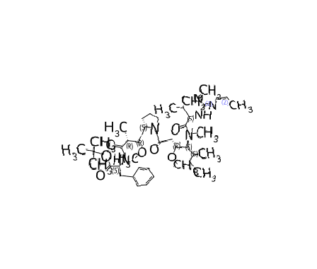 C=N/C(=N\C=C/C)N[C@H](C(=O)N(C)[C@@H]([C@@H](C)CC)[C@@H](CC(=O)N1CCC[C@H]1[C@H](OC)[C@@H](C)C(=O)N[C@@H](Cc1ccccc1)C(=O)OC(C)(C)C)OC)C(C)C